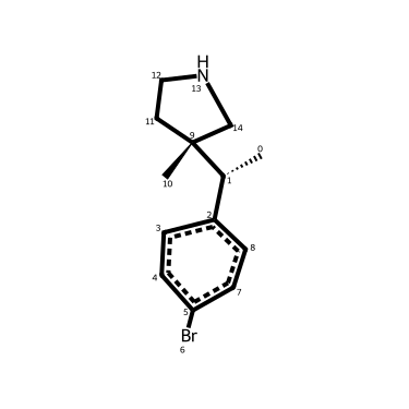 C[C@H](c1ccc(Br)cc1)[C@]1(C)CCNC1